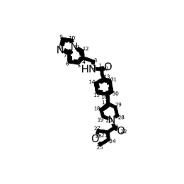 O=C(NCc1ccc2nccn2c1)c1ccc(C2=CCN(C(=O)C3CCOC3)CC2)cc1